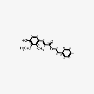 COc1c(O)ccc(C=CC(=O)OCCc2ccccc2)c1C